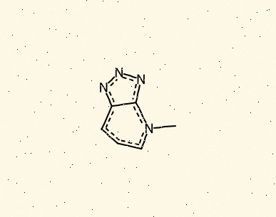 Cn1cccc2nnnc1-2